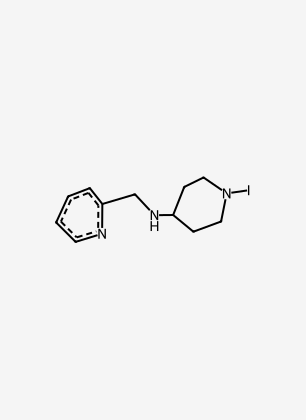 IN1CCC(NCc2ccccn2)CC1